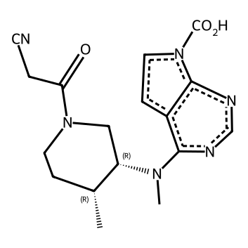 C[C@@H]1CCN(C(=O)CC#N)C[C@@H]1N(C)c1ncnc2c1ccn2C(=O)O